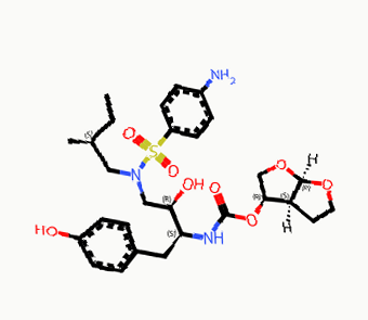 CC[C@H](C)CN(C[C@@H](O)[C@H](Cc1ccc(O)cc1)NC(=O)O[C@H]1CO[C@H]2OCC[C@H]21)S(=O)(=O)c1ccc(N)cc1